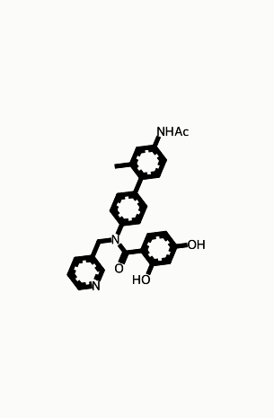 CC(=O)Nc1ccc(-c2ccc(N(Cc3cccnc3)C(=O)c3ccc(O)cc3O)cc2)c(C)c1